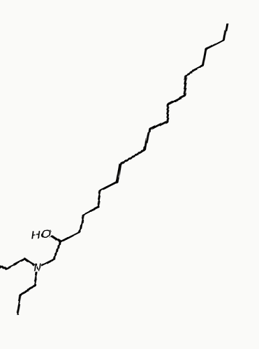 CCCCCCCCCCCCCCCCC(O)CN(CCC)CCC